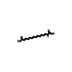 O=C(O)CCCCCCCCCCCCC(I)C(=O)O